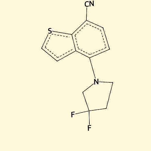 N#Cc1ccc(N2CCC(F)(F)C2)c2ccsc12